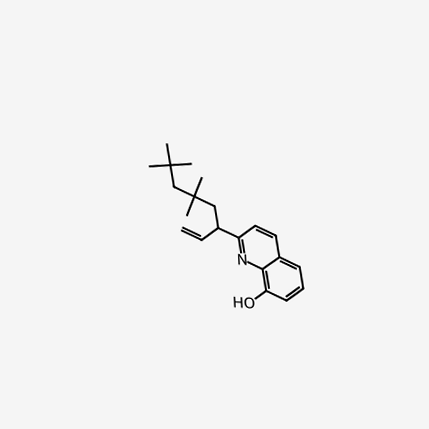 C=CC(CC(C)(C)CC(C)(C)C)c1ccc2cccc(O)c2n1